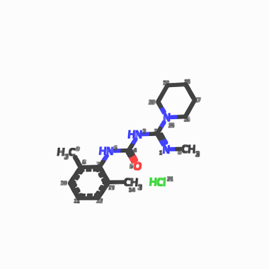 CN=C(NC(=O)Nc1c(C)cccc1C)N1CCCCC1.Cl